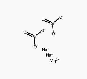 O=[Si]([O-])[O-].O=[Si]([O-])[O-].[Mg+2].[Na+].[Na+]